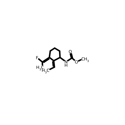 C/C=C1\C(=C(/C)F)CCCC1NC(=O)OC